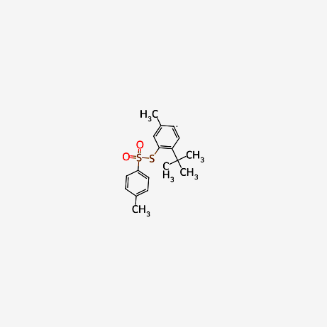 Cc1[c]cc(C(C)(C)C)c(SS(=O)(=O)c2ccc(C)cc2)c1